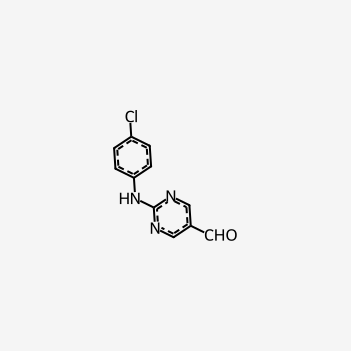 O=Cc1cnc(Nc2ccc(Cl)cc2)nc1